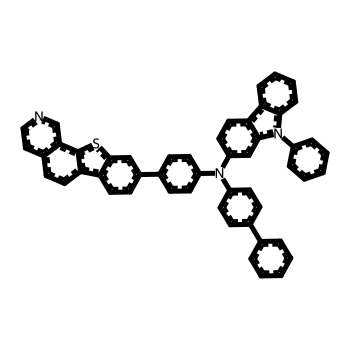 c1ccc(-c2ccc(N(c3ccc(-c4ccc5c(c4)sc4c6cnccc6ccc54)cc3)c3ccc4c5ccccc5n(-c5ccccc5)c4c3)cc2)cc1